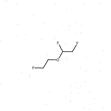 FCCOC(F)CF